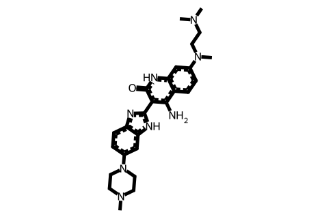 CN(C)CCN(C)c1ccc2c(N)c(-c3nc4ccc(N5CCN(C)CC5)cc4[nH]3)c(=O)[nH]c2c1